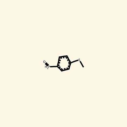 CSc1ccc([PH2]=O)cc1